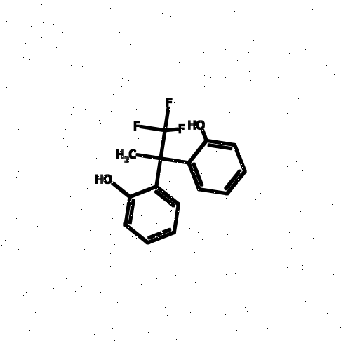 CC(c1ccccc1O)(c1ccccc1O)C(F)(F)F